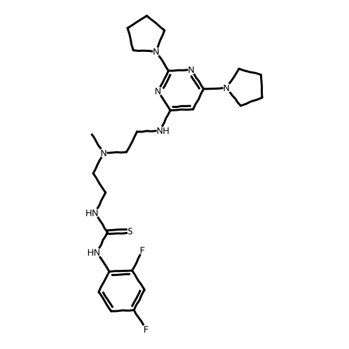 CN(CCNC(=S)Nc1ccc(F)cc1F)CCNc1cc(N2CCCC2)nc(N2CCCC2)n1